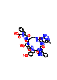 CCC(NC(=N)N)[C@@H]1NC(=O)[C@H](Cc2n[nH]c3ccccc23)NC(=O)[C@@H](CC2CCC(O)CC2)NC(=O)[C@@H]2C[C@@H](O)CN2C(=O)[C@@H](NC(=O)[C@H](Cc2ccccc2)NCC(=O)O)CCCNC1=O